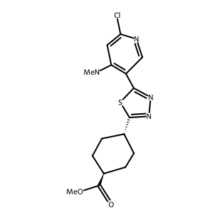 CNc1cc(Cl)ncc1-c1nnc([C@H]2CC[C@H](C(=O)OC)CC2)s1